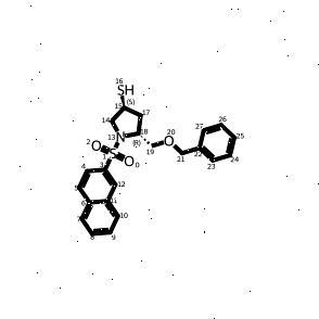 O=S(=O)(c1ccc2ccccc2c1)N1C[C@@H](S)C[C@@H]1COCc1ccccc1